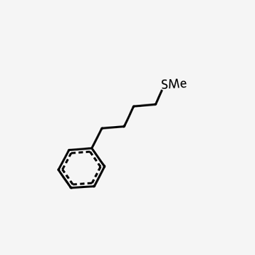 CSCCCCc1ccccc1